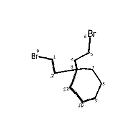 BrCCC1(CCBr)CCCCC1